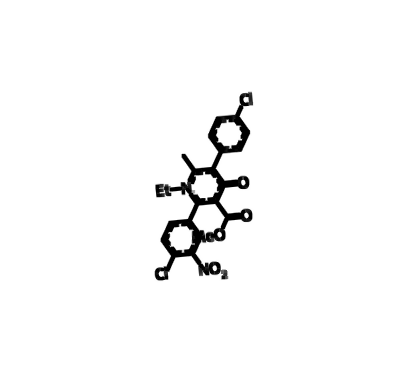 CCn1c(C)c(-c2ccc(Cl)cc2)c(=O)c(C(=O)OC)c1-c1ccc(Cl)c([N+](=O)[O-])c1